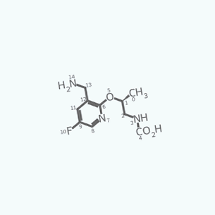 C[C@@H](CNC(=O)O)Oc1ncc(F)cc1CN